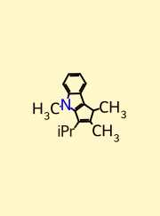 CC1=C(C(C)C)c2c(c3ccccc3n2C)C1C